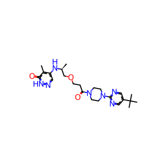 Cc1c(N[C@@H](C)COCCC(=O)N2CCN(c3ncc(C(C)(C)C)cn3)CC2)cn[nH]c1=O